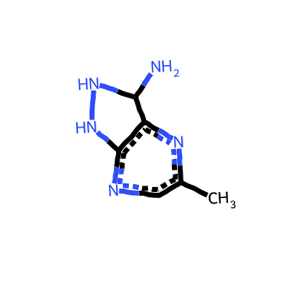 Cc1cnc2c(n1)C(N)NN2